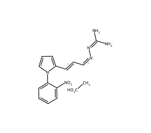 CC(=O)O.NC(N)=N/N=C\C=C\c1cccn1-c1ccccc1[N+](=O)[O-]